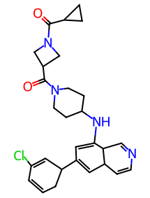 O=C(C1CN(C(=O)C2CC2)C1)N1CCC(NC2=CC(C3C=C(Cl)C=CC3)=CC3C=CN=CC23)CC1